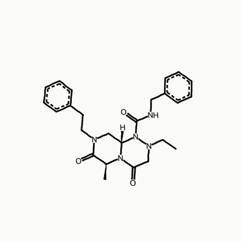 CCN1CC(=O)N2[C@@H](C)C(=O)N(CCc3ccccc3)C[C@@H]2N1C(=O)NCc1ccccc1